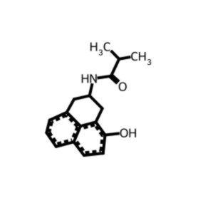 CC(C)C(=O)NC1Cc2cccc3ccc(O)c(c23)C1